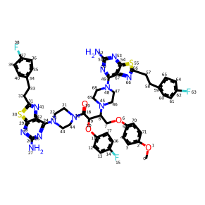 COc1ccc(OCC(C(Oc2ccc(F)cc2)C(=O)N2CCN(c3nc(N)nc4sc(CCc5ccc(F)cc5)nc34)CC2)N2CCN(c3nc(N)nc4sc(CCc5ccc(F)cc5)nc34)CC2)cc1